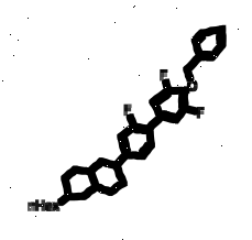 CCCCCCC1CCC2CC(c3ccc(-c4cc(F)c(OCc5ccccc5)c(F)c4)c(F)c3)CCC2C1